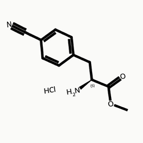 COC(=O)[C@@H](N)Cc1ccc(C#N)cc1.Cl